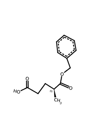 C[C@@H](CCC(=O)O)C(=O)OCc1ccccc1